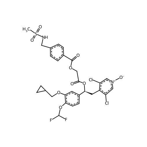 CS(=O)(=O)NCc1ccc(C(=O)OCC(=O)O[C@@H](Cc2c(Cl)c[n+]([O-])cc2Cl)c2ccc(OC(F)F)c(OCC3CC3)c2)cc1